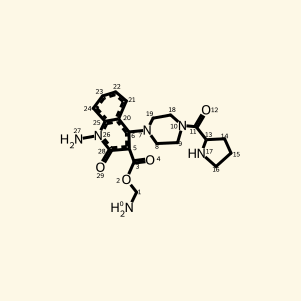 NCOC(=O)c1c(N2CCN(C(=O)C3CCCN3)CC2)c2ccccc2n(N)c1=O